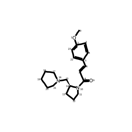 COc1ccc(/C=C/C(=O)N2CCC[C@H]2CN2CCCCC2)cc1